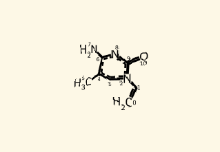 C=Cn1cc(C)c(N)nc1=O